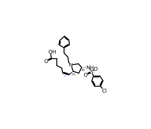 O=C(O)CCC/C=C\[C@@H]1C[C@@H](NS(=O)(=O)c2ccc(Cl)cc2)CN1CCCc1ccccc1